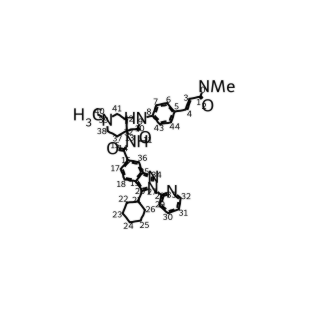 CNC(=O)C=Cc1ccc(NC(=O)C2(NC(=O)c3ccc4c(C5CCCCC5)n(-c5ccccn5)nc4c3)CCN(C)CC2)cc1